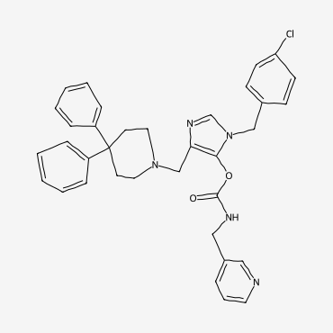 O=C(NCc1cccnc1)Oc1c(CN2CCC(c3ccccc3)(c3ccccc3)CC2)ncn1Cc1ccc(Cl)cc1